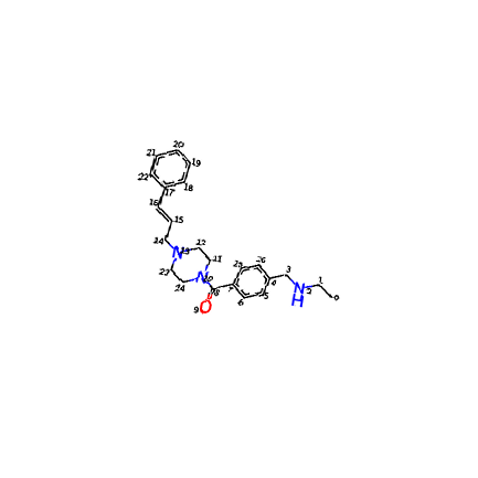 CCNCc1ccc(C(=O)N2CCN(C/C=C/c3ccccc3)CC2)cc1